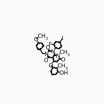 COc1ccc(Cn2c(=O)c3c(Oc4cccc(O)c4C)cc(=O)n(C)c3n(-c3ccc(I)cc3F)c2=O)cc1